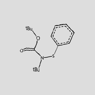 CC(C)(C)OC(=O)N(Sc1ccccc1)C(C)(C)C